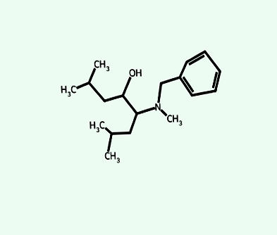 CC(C)CC(O)C(CC(C)C)N(C)Cc1ccccc1